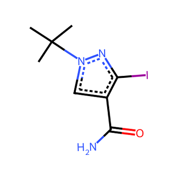 CC(C)(C)n1cc(C(N)=O)c(I)n1